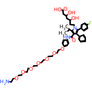 CC(C)c1c(C(=O)Nc2ccc(OCCOCCOCCOCCOCCOCCOCCN)cc2)c(-c2ccccc2)c(-c2ccc(F)cc2)n1CCC(O)CC(O)CC(=O)O